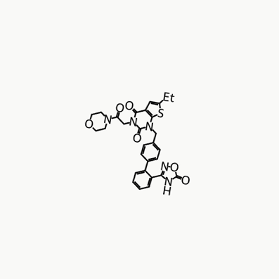 CCc1cc2c(=O)n(CC(=O)N3CCOCC3)c(=O)n(Cc3ccc(-c4ccccc4-c4noc(=O)[nH]4)cc3)c2s1